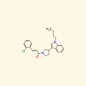 CCCCn1cc(C2CCN(C(=O)C=Cc3ccccc3Cl)C2)c2ccccc21